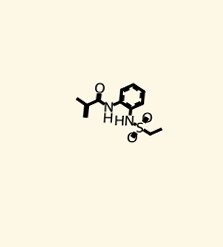 C=C(C)C(=O)Nc1ccccc1NS(=O)(=O)CC